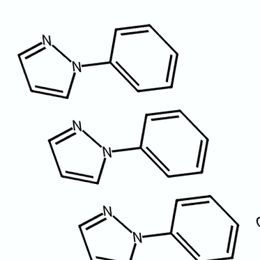 [Co].c1ccc(-n2cccn2)cc1.c1ccc(-n2cccn2)cc1.c1ccc(-n2cccn2)cc1